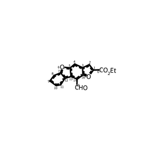 CCOC(=O)c1cc2cc3oc4ccccc4c3c(C=O)c2o1